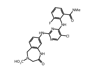 CNC(=O)c1cccc(F)c1Nc1nc(Nc2ccc3c(c2)NC(=O)CN(C(=O)O)C3)ncc1Cl